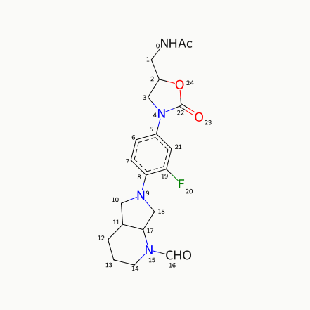 CC(=O)NCC1CN(c2ccc(N3CC4CCCN(C=O)C4C3)c(F)c2)C(=O)O1